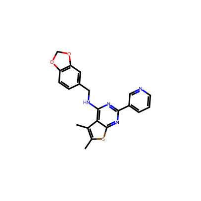 Cc1sc2nc(-c3cccnc3)nc(NCc3ccc4c(c3)OCO4)c2c1C